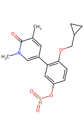 Cc1cc(-c2cc(O[SH](=O)=O)ccc2OCC2CC2)cn(C)c1=O